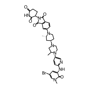 CC1CN([C@@H]2CCN(c3ccc4c(c3)C(=O)N(C3CCC(=O)NC3=O)C4=O)[C@@H](C)C2)CCN1c1ccc(Nc2cc(Br)cn(C)c2=O)nc1